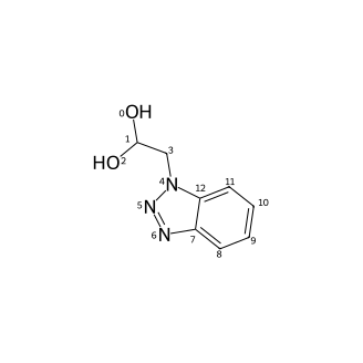 OC(O)Cn1nnc2ccccc21